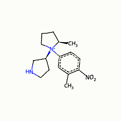 Cc1cc([N+]2([C@H]3CCNC3)CCC[C@H]2C)ccc1[N+](=O)[O-]